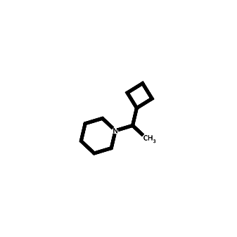 CC(C1CCC1)N1CCCCC1